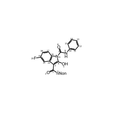 CCCCCCCCCC(=O)c1c(O)n(C(=O)Nc2ccccc2)c2ccc(F)cc12